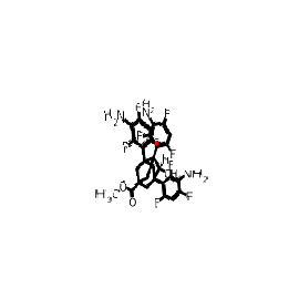 COC(=O)C12CC3(c4c(F)cc(F)c(N)c4F)CC(c4c(F)cc(F)c(N)c4F)(C1)C(c1c(F)cc(F)c(N)c1F)(C2)[C@@H]3C